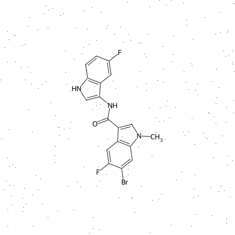 Cn1cc(C(=O)Nc2c[nH]c3ccc(F)cc23)c2cc(F)c(Br)cc21